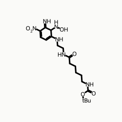 CC(C)(C)OC(=O)NCCCCCC(=O)NCCNC1=CC=C([N+](=O)[O-])C(=N)C1NO